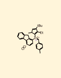 CCC1=[C](/[Zr+2](=[CH]/c2ccc(C)cc2)[c]2cccc3c2Cc2ccccc2-3)C(C)C=C1C(C)(C)C.[Cl-].[Cl-]